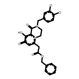 O=C(Cc1cc(=O)c(O)c2n1CCN(Cc1ccc(Cl)c(Cl)c1)C2=O)OCc1ccccc1